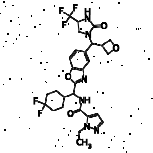 CCn1nccc1C(=O)NC(c1nc2cc(C(C3COC3)N3CC(C(F)(F)F)NC3=O)ccc2o1)C1CCC(F)(F)CC1